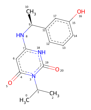 CC(C)n1c(=O)cc(N[C@@H](C)c2cccc(O)c2)[nH]c1=O